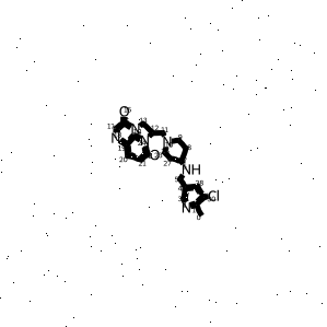 Cc1ncc(CNC2CCN(CC3Cn4c(=O)cnc5ccc(=O)n3c54)CC2)cc1Cl